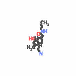 CCCCNC(=O)/C=C1/CC[C@@H]2[C@@H](C1)[C@H](O)C=C(C)[C@H]2CCC#N